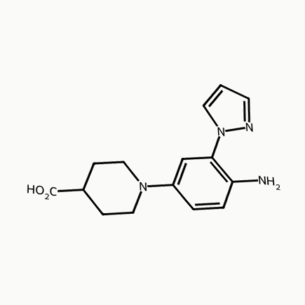 Nc1ccc(N2CCC(C(=O)O)CC2)cc1-n1cccn1